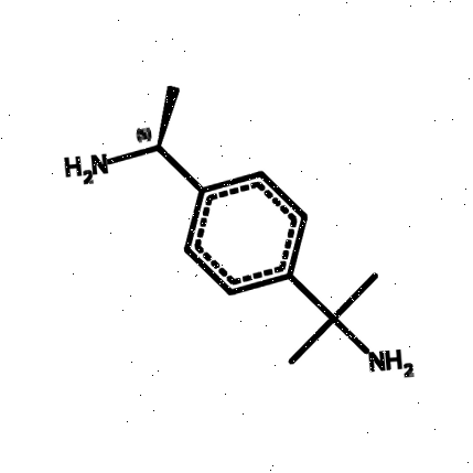 C[C@H](N)c1ccc(C(C)(C)N)cc1